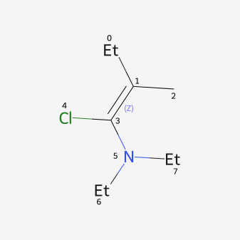 CC/C(C)=C(\Cl)N(CC)CC